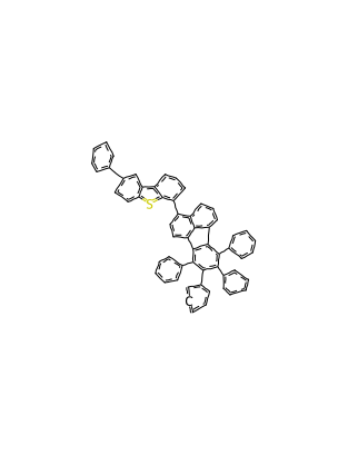 c1ccc(-c2ccc3sc4c(-c5ccc6c7c(cccc57)-c5c(-c7ccccc7)c(-c7ccccc7)c(-c7ccccc7)c(-c7ccccc7)c5-6)cccc4c3c2)cc1